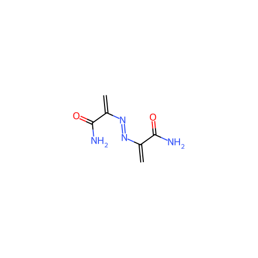 C=C(N=NC(=C)C(N)=O)C(N)=O